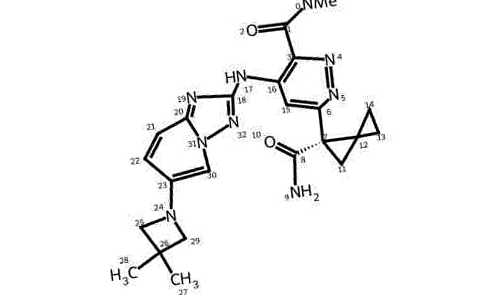 CNC(=O)c1nnc([C@]2(C(N)=O)CC23CC3)cc1Nc1nc2ccc(N3CC(C)(C)C3)cn2n1